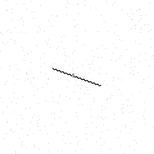 CCCCCCCCCCCCCCCCSCCCCCCCCCCCC